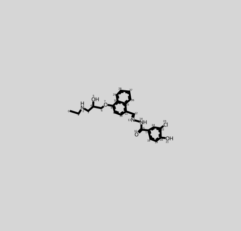 CCNCC(O)COc1ccc(/C=N/NC(=O)c2ccc(O)c(Cl)c2)c2ccccc12